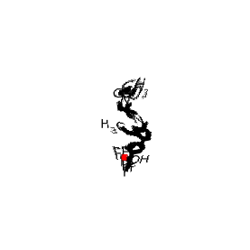 CCc1cc(CN2CC3(CCN(S(C)(=O)=O)C3)C2)ccc1-c1ccc(C(O)(C(F)(F)F)C(F)(F)F)cc1